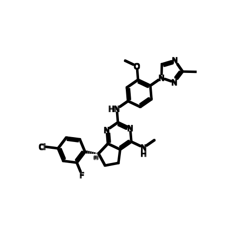 CNc1nc(Nc2ccc(-n3cnc(C)n3)c(OC)c2)nc2c1CC[C@@H]2c1ccc(Cl)cc1F